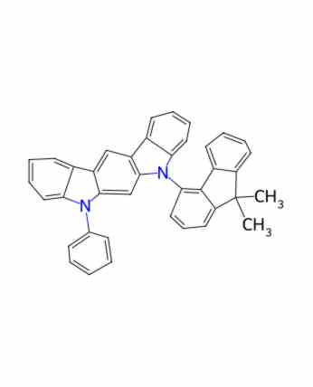 CC1(C)c2ccccc2-c2c(-n3c4ccccc4c4cc5c6ccccc6n(-c6ccccc6)c5cc43)cccc21